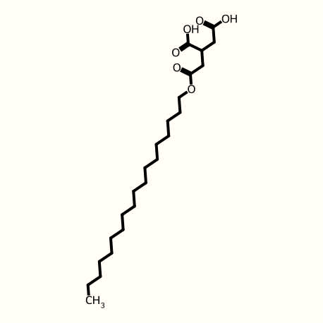 CCCCCCCCCCCCCCCCCCOC(=O)CC(CC(=O)O)C(=O)O